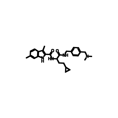 Cc1ccc2c(C)c(C(=O)NC(CCC3CC3)C(=O)NCc3ccc(CN(C)C)cc3)[nH]c2c1